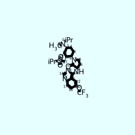 CC(C)N(C)[C@@H]1CC[C@H](N2CCC(Nc3ncnc4ccc(OC(F)(F)F)cc34)C2=O)[C@H](CS(=O)(=O)C(C)C)C1